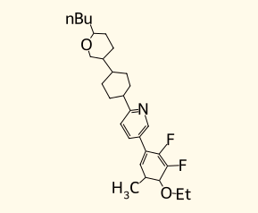 CCCCC1CCC(C2CCC(c3ccc(C4=CC(C)C(OCC)C(F)=C4F)cn3)CC2)CO1